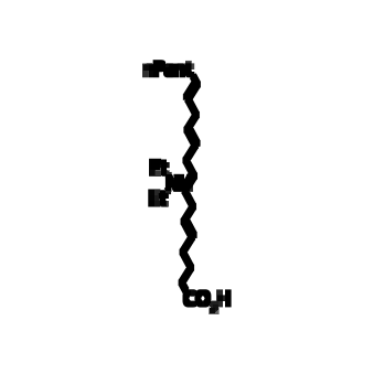 CCCCCC=CCC=CCC=CCC=CCCCC(=O)O.CCNCC